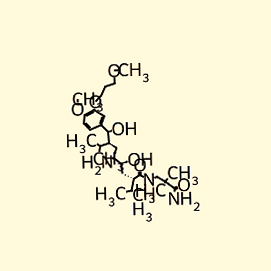 COCCCOc1cc([C@@H](O)[C@@H](C[C@H](N)[C@@H](O)C[C@H](C(=O)NCC(C)(C)C(N)=O)C(C)C)C(C)C)ccc1OC